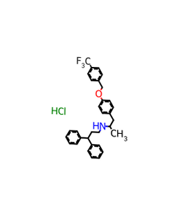 CC(Cc1ccc(OCc2ccc(C(F)(F)F)cc2)cc1)NCCC(c1ccccc1)c1ccccc1.Cl